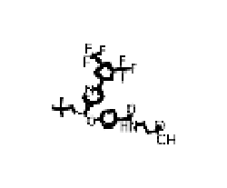 CC(C)(C)CC[C@@H](Oc1ccc(C(=O)NCCC(=O)O)cc1)c1ccc(-c2cc(C(F)(F)F)cc(C(F)(F)F)c2)nc1